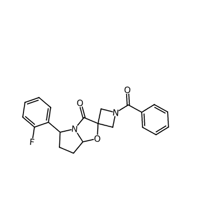 O=C(c1ccccc1)N1CC2(C1)OC1CCC(c3ccccc3F)N1C2=O